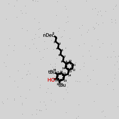 CCCCCCCCCCCCCCCCCCc1cccc(Cc2cc(C(C)(C)C)c(O)c(C(C)(C)C)c2)c1